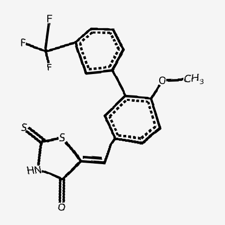 COc1ccc(/C=C2\SC(=S)NC2=O)cc1-c1cccc(C(F)(F)F)c1